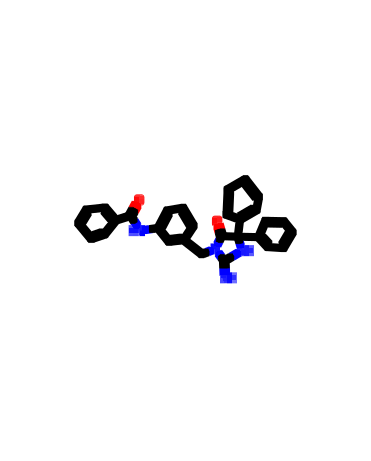 N=C1NC(c2ccccc2)(c2ccccc2)C(=O)N1Cc1cccc(NC(=O)c2ccccc2)c1